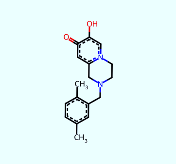 Cc1ccc(C)c(CN2CCn3cc(O)c(=O)cc3C2)c1